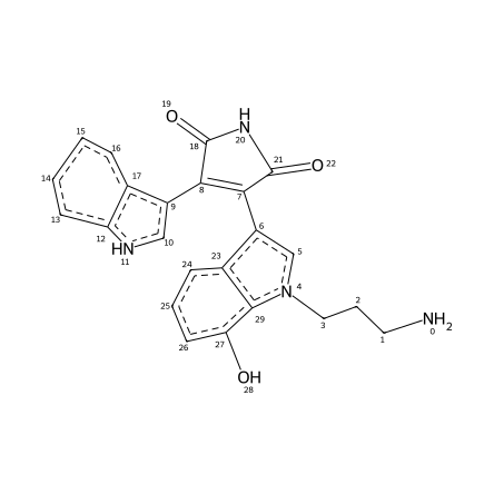 NCCCn1cc(C2=C(c3c[nH]c4ccccc34)C(=O)NC2=O)c2cccc(O)c21